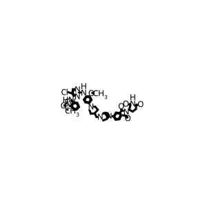 COc1cc(N2CCC(CN3CC4CC3CN4c3ccc4c(c3)C(=O)N(C3CCC(=O)NC3=O)C4=O)CC2)ccc1Nc1ncc(Cl)c(Nc2ccccc2P(C)(C)=O)n1